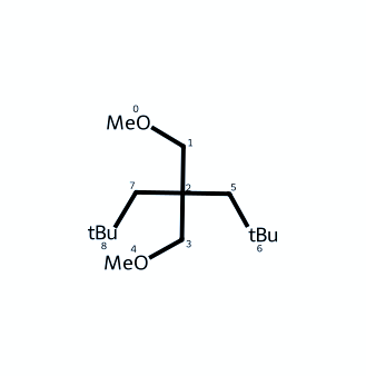 COCC(COC)(CC(C)(C)C)CC(C)(C)C